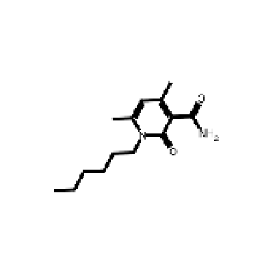 CCCCCCn1c(C)cc(C)c(C(N)=O)c1=O